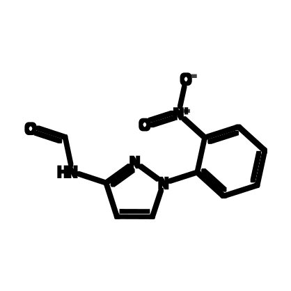 O=CNc1ccn(-c2ccccc2[N+](=O)[O-])n1